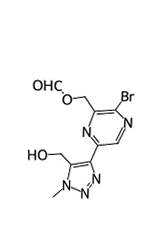 Cn1nnc(-c2cnc(Br)c(COC=O)n2)c1CO